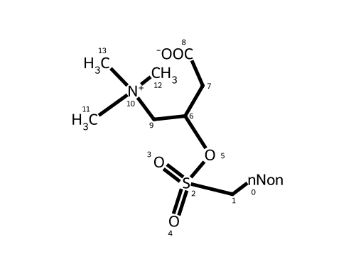 CCCCCCCCCCS(=O)(=O)OC(CC(=O)[O-])C[N+](C)(C)C